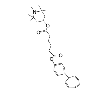 CN1C(C)(C)CC(OC(=O)CCCCC(=O)Oc2ccc(C3C=CC=CC=C3)cc2)CC1(C)C